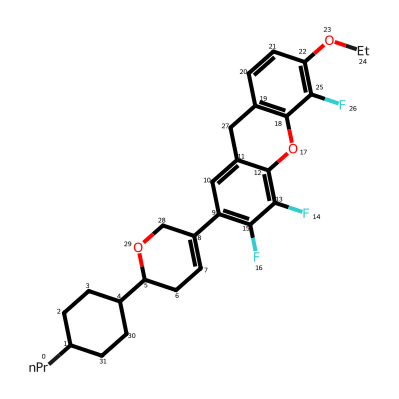 CCCC1CCC(C2CC=C(c3cc4c(c(F)c3F)Oc3c(ccc(OCC)c3F)C4)CO2)CC1